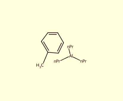 CC[CH2][Al]([CH2]CC)[CH2]CC.Cc1ccccc1